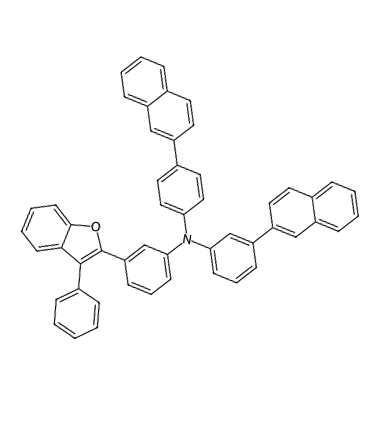 c1ccc(-c2c(-c3cccc(N(c4ccc(-c5ccc6ccccc6c5)cc4)c4cccc(-c5ccc6ccccc6c5)c4)c3)oc3ccccc23)cc1